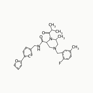 Cc1ccc(F)c(CN2CC(C)N(C(=O)C(C)C)C(C(=O)NCc3ccc(-c4ccco4)cc3)C2)c1